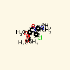 COc1cc2c(cc1OCC(C)OC)C(c1ccc(Cl)cc1)N(c1ccc(N(C)C)cc1)C(=O)C2